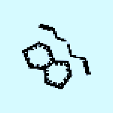 C=CCSCC=C.c1ccc2ccccc2c1